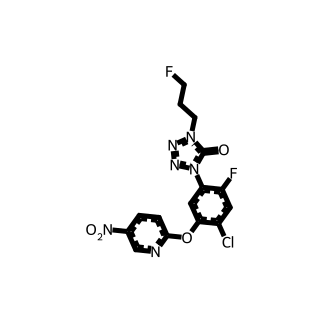 O=c1n(CCCF)nnn1-c1cc(Oc2ccc([N+](=O)[O-])cn2)c(Cl)cc1F